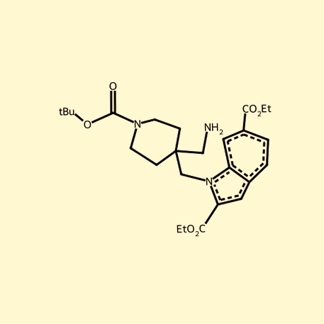 CCOC(=O)c1ccc2cc(C(=O)OCC)n(CC3(CN)CCN(C(=O)OC(C)(C)C)CC3)c2c1